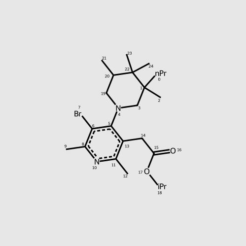 CCCC1(C)CN(c2c(Br)c(C)nc(C)c2CC(=O)OC(C)C)CC(C)C1(C)C